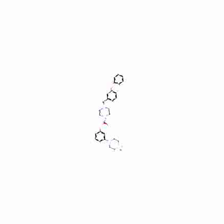 O=C(Oc1cccc(N2CCS(O)(O)CC2)c1)N1CCN(Cc2cccc(Oc3ccccc3)c2)CC1